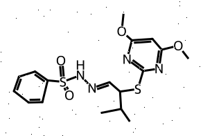 COc1cc(OC)nc(SC(/C=N/NS(=O)(=O)c2ccccc2)C(C)C)n1